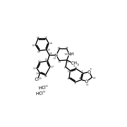 CC1(Cc2ccc3c(c2)OCO3)CN(C(c2ccccc2)c2ccc(Cl)cc2)CCN1.Cl.Cl